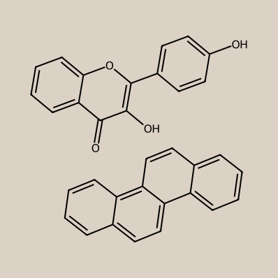 O=c1c(O)c(-c2ccc(O)cc2)oc2ccccc12.c1ccc2c(c1)ccc1c3ccccc3ccc21